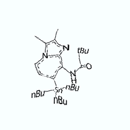 CCC[CH2][Sn]([CH2]CCC)([CH2]CCC)[c]1ccn2c(C)c(C)nc2c1NC(=O)C(C)(C)C